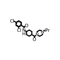 CC(C)N1CCN(C(=O)C2CCC(NC(=O)c3ccc(Cl)cc3Cl)CC2)CC1